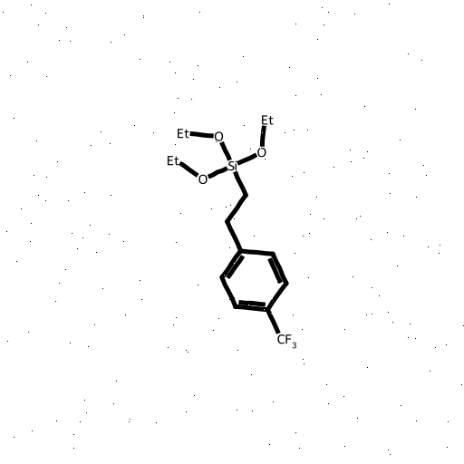 CCO[Si](CCc1ccc(C(F)(F)F)cc1)(OCC)OCC